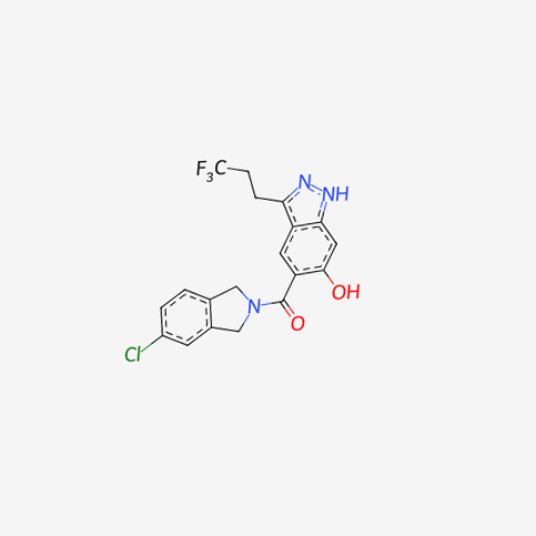 O=C(c1cc2c(CCC(F)(F)F)n[nH]c2cc1O)N1Cc2ccc(Cl)cc2C1